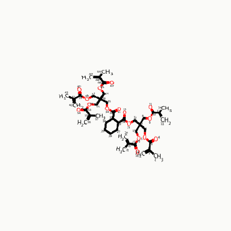 C=C(C)C(=O)OCC(COC(=O)C(=C)C)(COC(=O)C(=C)C)COC(=O)C1CCCCC1C(=O)OCC(COC(=O)C(=C)C)(COC(=O)C(=C)C)COC(=O)C(=C)C